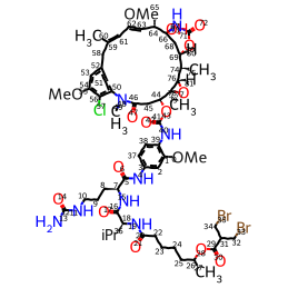 COc1cc(NC(=O)[C@H](CCCNC(N)=O)NC(=O)[C@@H](NC(=O)CCCCC(C)OC(=O)C(CBr)CBr)C(C)C)ccc1NC(=O)O[C@H]1CC(=O)N(C)c2cc(cc(OC)c2Cl)C/C(C)=C/C=C/[C@@H](OC)[C@@]2(O)C[C@H](OC(=O)N2)[C@@H](C)[C@@H]2O[C@@]12C